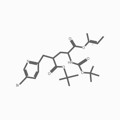 C/C=C(\C)OC(=O)C(CC(Cc1ccc(Br)cn1)C(=O)OC(C)(C)C)NC(=O)OC(C)(C)C